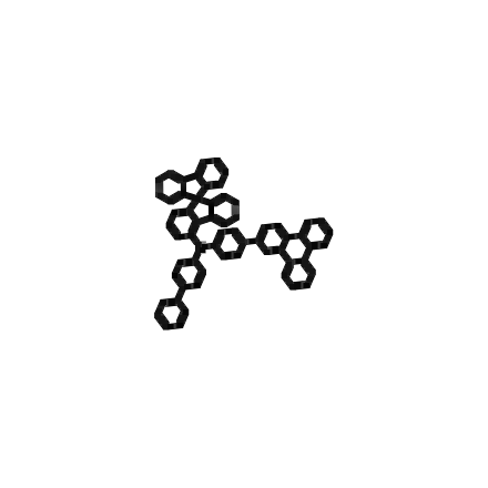 c1ccc(-c2ccc(N(c3ccc(-c4ccc5c6ccccc6c6ccccc6c5c4)cc3)c3cccc4c3-c3ccccc3C43c4ccccc4-c4ccccc43)cc2)cc1